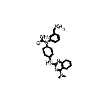 CN(C)c1nc(NC2CCC(N(C(N)=O)c3cccc(CN)c3)CC2)nc2c1CCCC2